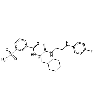 CS(=O)(=O)c1cccc(C(=O)N[C@@H](CC2CCCCC2)C(=O)NCCNc2ccc(F)cc2)c1